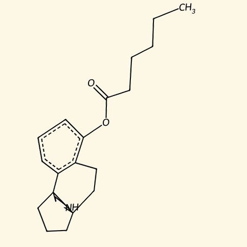 CCCCCC(=O)Oc1cccc2c1CCC13CCCC21CCNC3